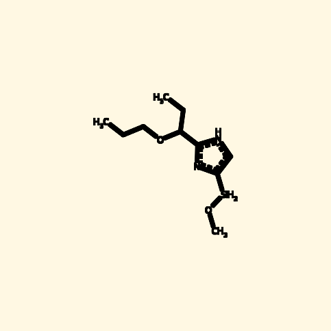 CCCOC(CC)c1nc([SiH2]OC)c[nH]1